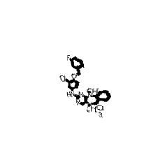 CN1C(=O)c2ccccc2N(C)c2nc(Nc3ccc(OCc4cccc(F)c4)c(Cl)c3)ncc21